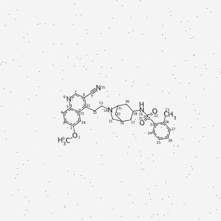 COc1ccc2ncc(C#N)c(CCN3CC4CC(NS(=O)(=O)c5ccccc5C)CC3C4)c2c1